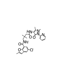 Cc1cc2cc(Cl)cc(C(=O)NCC(C)(C)CC(=O)Nc3c(C)n(C)n(-c4ccccn4)c3=O)c2o1